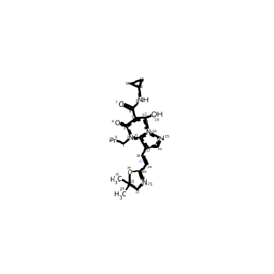 CC(C)Cn1c(=O)c(C(=O)NC2CC2)c(O)n2ncc(/C=C/C3=NCC(C)(C)O3)c12